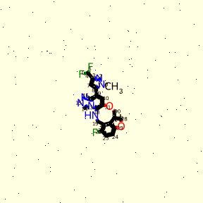 Cn1nc(C(F)F)cc1-c1cc2c(n3cnnc13)NCc1c(F)ccc3c1[C@H](CO3)CO2